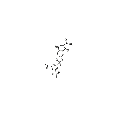 O=C(O)c1c[nH]c2ccc(OS(=O)(=O)c3cc(C(F)(F)F)cc(C(F)(F)F)c3)cc2c1=O